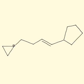 C(=CC1CCCC1)CCP1CC1